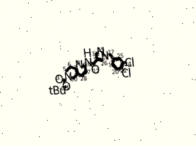 CC(C)(C)OC(=O)N1CCc2nc(NC(=O)c3cnn(Cc4ccc(Cl)c(Cl)c4)c3)ccc2C1